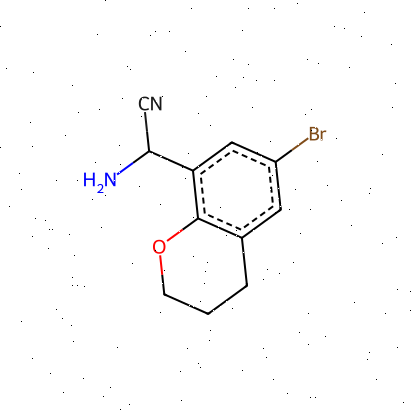 N#CC(N)c1cc(Br)cc2c1OCCC2